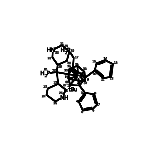 CC(C)(C)[C]12[C]3(c4ccccc4)[C]4(c5ccccc5)[C]5(CP)[C]1(C(P)(C1CCCNC1)C1CCCNC1)[Fe]54321678[CH]2[CH]1[CH]6[CH]7[CH]28